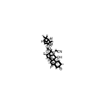 C[C@@H]1[C@H]2C[C@@H](C[C@H]1OC(=O)O[C@@]1(C(=O)OCC#N)[C@H](C)C[C@H]3[C@@H]4C[C@H](F)C5=CC(=O)C=C[C@]5(C)C4(F)[C@@H](O)C[C@@]31C)C2(C)C